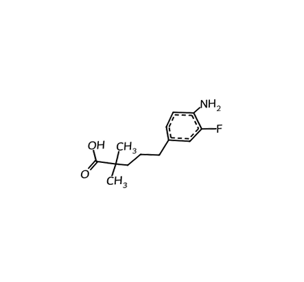 CC(C)(CCCc1ccc(N)c(F)c1)C(=O)O